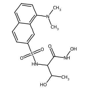 CC(O)C(NS(=O)(=O)c1ccc2cccc(N(C)C)c2c1)C(=O)NO